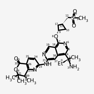 CC[C@@](C)(N)c1cnc(O[C@H]2C[C@@H](CS(C)(=O)=O)C2)c2cnc(Nc3ccc4c(n3)[C@@H](C)C(C)(C)OC4=O)cc12